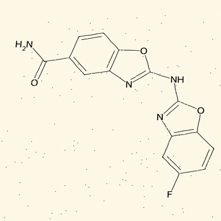 NC(=O)c1ccc2oc(Nc3nc4cc(F)ccc4o3)nc2c1